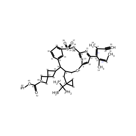 BC(P)(P)C1(CC2COc3cc(C(/C(C)=C\C)=C(\C)C#C)nc(n3)NS(=O)(=O)c3cccc(c3)C2C2CC3(C2)CN(C(=O)OC(C)C)C3)CC1